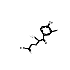 NC(=O)CCC(N)C(=O)c1ccc(O)c(I)c1